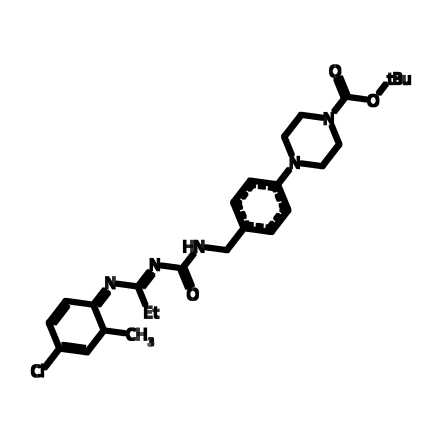 CCC(=N\C(=O)NCc1ccc(N2CCN(C(=O)OC(C)(C)C)CC2)cc1)/N=C1/C=CC(Cl)=CC1C